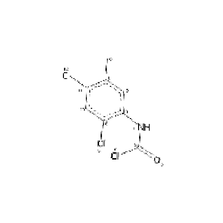 Cc1cc(NC(=O)Cl)c(Cl)cc1Cl